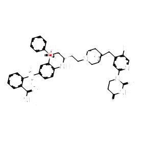 NC(=O)c1ccccc1S(=O)(=O)c1ccc(N[C@H](CCN2CC3CCC2CN3Cc2cc(N3CCC(=O)NC3=O)ncc2F)CSc2ccccc2)c(S(=O)(=O)C(F)(F)F)c1